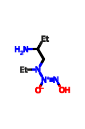 CCC(N)CN(CC)/[N+]([O-])=N/O